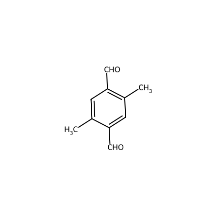 Cc1cc(C=O)c(C)cc1C=O